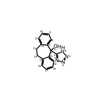 OC1(c2nnn[nH]2)c2ccccc2CCc2ccccc21